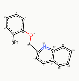 [CH2]CCc1ccccc1OCc1ccc2ccccc2n1